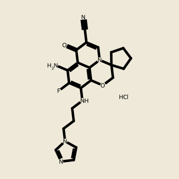 Cl.N#Cc1cn2c3c(c(NCCCn4ccnc4)c(F)c(N)c3c1=O)OCC21CCCC1